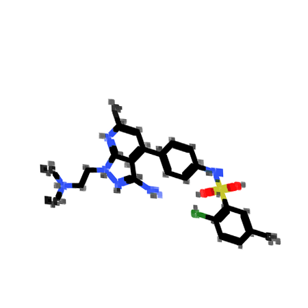 Cc1ccc(Cl)c(S(=O)(=O)Nc2ccc(-c3cc(C(C)C)nc4c3c(N)nn4CCN(C)C)cc2)c1